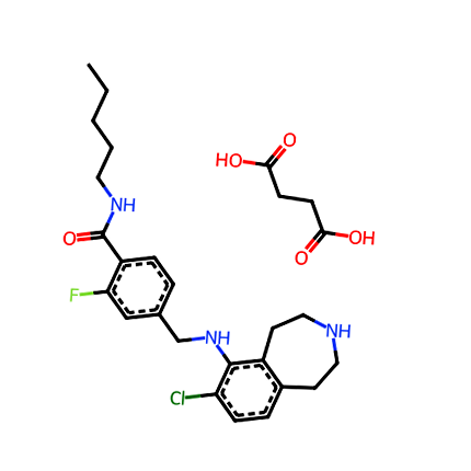 CCCCCNC(=O)c1ccc(CNc2c(Cl)ccc3c2CCNCC3)cc1F.O=C(O)CCC(=O)O